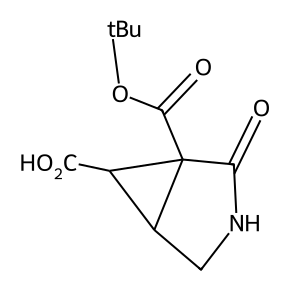 CC(C)(C)OC(=O)C12C(=O)NCC1C2C(=O)O